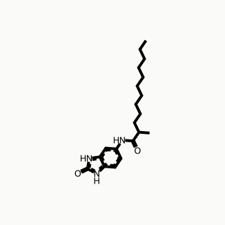 CCCCCCCCCCC(C)C(=O)Nc1ccc2[nH]c(=O)[nH]c2c1